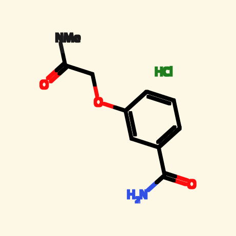 CNC(=O)COc1cccc(C(N)=O)c1.Cl